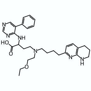 CCOCCN(CCCCc1ccc2c(n1)NCCC2)CCC(Nc1ncncc1-c1ccccc1)C(=O)O